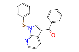 O=C(c1ccccc1)c1cn(Sc2ccccc2)c2ncccc12